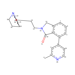 Cc1cc(-c2cccc3c2C(=O)N(CCC2CN4CCC2CC4)C3)ccn1